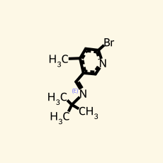 Cc1cc(Br)ncc1/C=N/C(C)(C)C